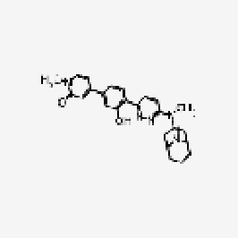 CN(c1ccc(-c2ccc(-c3ccn(C)c(=O)c3)cc2O)nn1)C1CC2CCCC(C1)N2